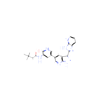 CC(C)(C)CC(O)Nc1cncc(-c2cnc3[nH]nc(-c4nc5cccnc5[nH]4)c3c2)c1